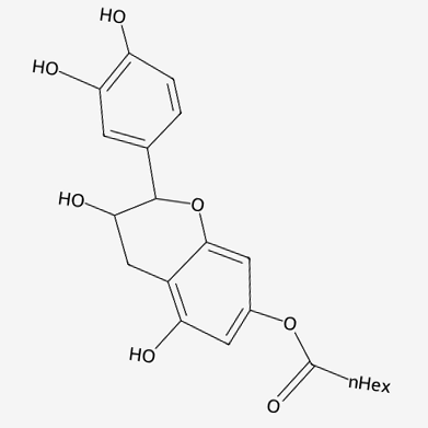 CCCCCCC(=O)Oc1cc(O)c2c(c1)OC(c1ccc(O)c(O)c1)C(O)C2